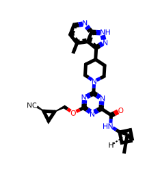 Cc1ccnc2[nH]nc(C3CCN(c4nc(OC[C@H]5C[C@H]5C#N)nc(C(=O)NC56CC(C5)[C@H]6C)n4)CC3)c12